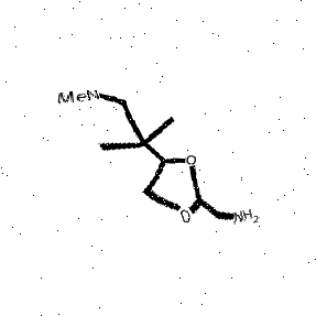 CNCC(C)(C)C1COC(N)O1